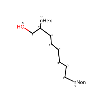 CCCCCCCCCCCCCCCC(CO)CCCCCC